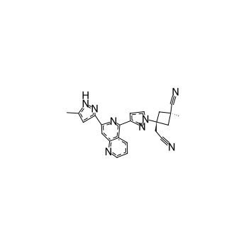 Cc1cc(-c2cc3ncccc3c(-c3ccn([C@]4(CC#N)C[C@@](C)(C#N)C4)n3)n2)n[nH]1